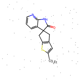 CCOC(=O)c1cc2c(s1)CC1(C2)C(=O)Nc2ncccc21